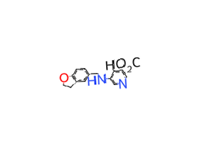 O=C(O)c1ccncc1NCc1ccc2c(c1)CCO2